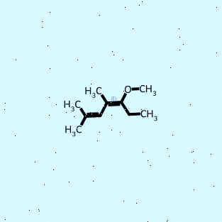 CC/C(OC)=C(/C)C=C(C)C